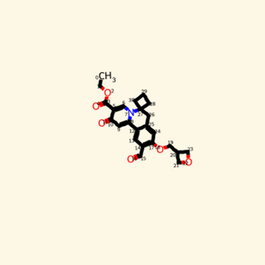 CCOC(=O)c1cn2c(cc1=O)-c1cc(C=O)c(OCC3COC3)cc1CC21CCC1